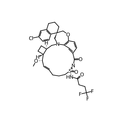 CO[C@H]1/C=C/CCC[S@@](=O)(NC(=O)CCC(F)(F)F)=NC(=O)c2ccc3c(c2)N(C[C@@H]2CC[C@H]21)C[C@@]1(CCCc2cc(Cl)ccc21)CO3